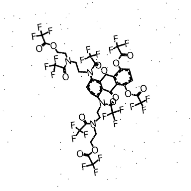 O=C1c2c(OC(=O)C(F)(F)F)ccc(OC(=O)C(F)(F)F)c2C(=O)c2c(N(CCN(CCOC(=O)C(F)(F)F)C(=O)C(F)(F)F)C(=O)C(F)(F)F)ccc(N(CCN(CCOC(=O)C(F)(F)F)C(=O)C(F)(F)F)C(=O)C(F)(F)F)c21